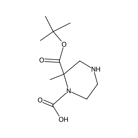 CC(C)(C)OC(=O)C1(C)CNCCN1C(=O)O